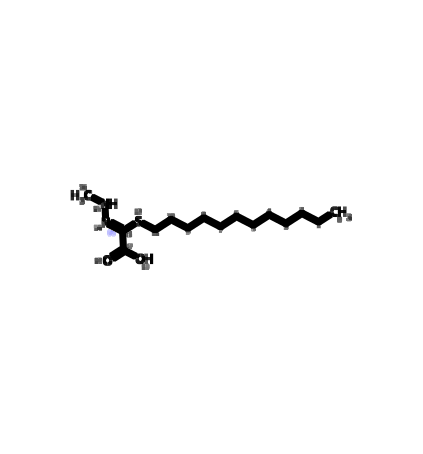 CCCCCCCCCCCCS/C(=N\NC)C(=O)O